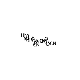 N#CCC1(n2cc(-c3ncnc4[nH]ccc34)cn2)CN(C2CCN(C(=O)c3cccc(C#N)c3)CC2)C1